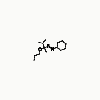 CCCOC(C)(/N=N/C1CCCCC1)C(C)C